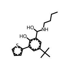 CCCCNC(O)c1cc(C(C)(C)C)cc(-c2cccs2)c1O